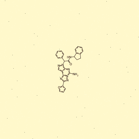 Nc1nc2c(cnn2C(C(=O)NC2CCc3ccccc32)c2ccccc2)c2nc(-c3ccco3)nn12